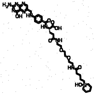 Nc1nc(O)c2nc(CNc3ccc(C(=O)N[C@@H](CCC(=O)NCCOCCOCCNC(=O)CCCC[Si]4(O)CCCCC4)C(=O)O)cc3)cnc2n1